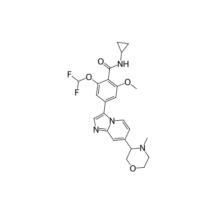 COc1cc(-c2cnc3cc(C4COCCN4C)ccn23)cc(OC(F)F)c1C(=O)NC1CC1